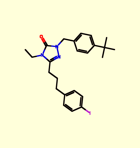 CCn1c(CCCc2ccc(I)cc2)nn(Cc2ccc(C(C)(C)C)cc2)c1=O